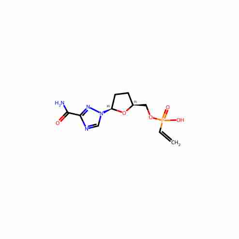 C=CP(=O)(O)OC[C@@H]1CC[C@H](n2cnc(C(N)=O)n2)O1